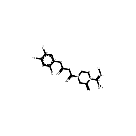 C=C1CN(C(=O)CC(=O)Cc2cc(F)c(F)cc2F)CCN1/C(=N\C)C(F)(F)F